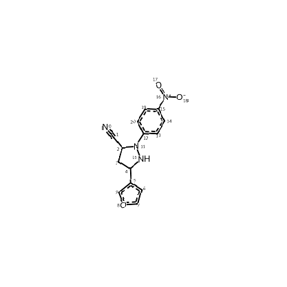 N#CC1CC(c2ccoc2)NN1c1ccc([N+](=O)[O-])cc1